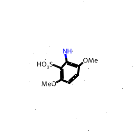 COc1ccc(OC)c(S(=O)(=O)O)c1[NH]